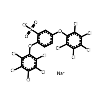 O=S(=O)([O-])c1cc(Oc2c(Cl)c(Cl)c(Cl)c(Cl)c2Cl)ccc1Oc1c(Cl)c(Cl)c(Cl)c(Cl)c1Cl.[Na+]